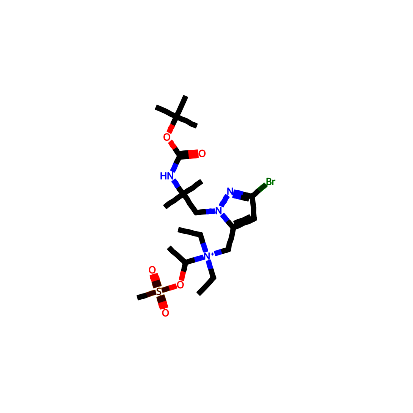 CC[N+](CC)(Cc1cc(Br)nn1CC(C)(C)NC(=O)OC(C)(C)C)C(C)OS(C)(=O)=O